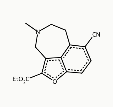 CCOC(=O)c1oc2ccc(C#N)c3c2c1CN(C)CC3